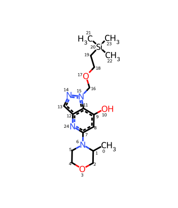 CC1COCCN1c1cc(O)c2c(cnn2COCC[Si](C)(C)C)n1